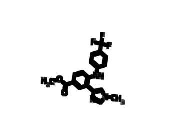 COC(=O)c1ccc(Nc2ccc(C(F)(F)F)cc2)c(-c2cn(C)cn2)c1